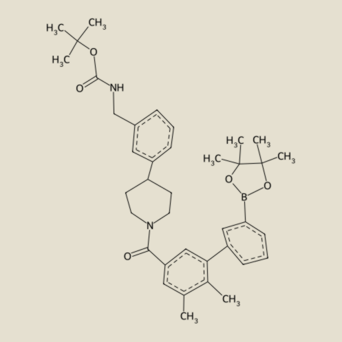 Cc1cc(C(=O)N2CCC(c3cccc(CNC(=O)OC(C)(C)C)c3)CC2)cc(-c2cccc(B3OC(C)(C)C(C)(C)O3)c2)c1C